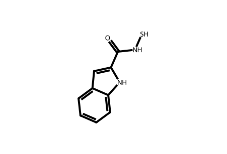 O=C(NS)c1cc2ccccc2[nH]1